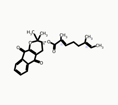 C/C=C(\C)CC/C=C(\C)C(=O)O[C@@H]1CC2=C(OC1(C)C)C(=O)c1ccccc1C2=O